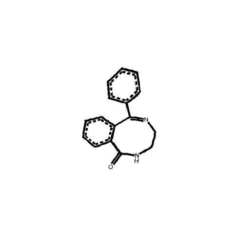 O=C1NCCN=C(c2ccccc2)c2ccccc21